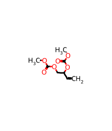 C=CC(COC(=O)OC)OC(=O)OC